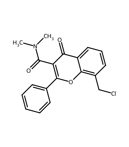 CN(C)C(=O)c1c(-c2ccccc2)oc2c(CCl)cccc2c1=O